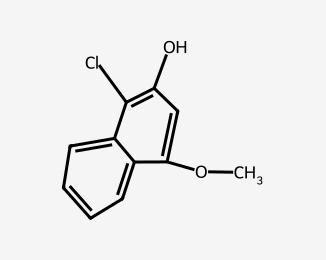 COc1cc(O)c(Cl)c2ccccc12